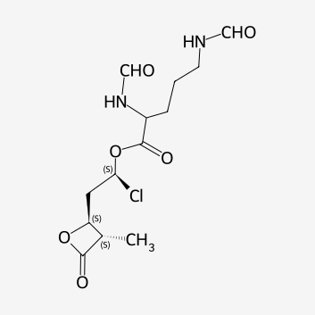 C[C@@H]1C(=O)O[C@H]1C[C@H](Cl)OC(=O)C(CCCNC=O)NC=O